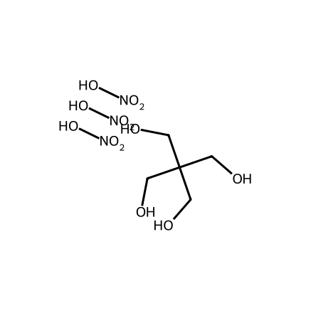 O=[N+]([O-])O.O=[N+]([O-])O.O=[N+]([O-])O.OCC(CO)(CO)CO